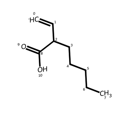 [CH]=CC(CCCCC)C(=O)O